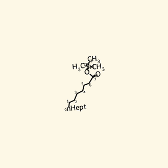 CCCCCCCCCCCCCC(=O)O[Si](C)(C)C